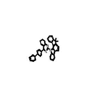 CC1(C)c2ccccc2-c2c1ccc1c3ccccc3n(-c3nc(-c4ccc(-c5ccccc5)cc4)c4c(n3)=CCCC=4)c21